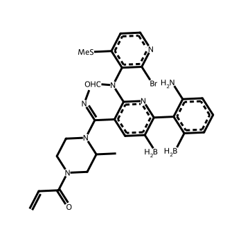 Bc1cc(/C(=N\C)N2CCN(C(=O)C=C)CC2C)c(N(C=O)c2c(SC)ccnc2Br)nc1-c1c(B)cccc1N